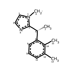 [CH2]n1ccnc1[C@H](C)c1cccc(C)c1C